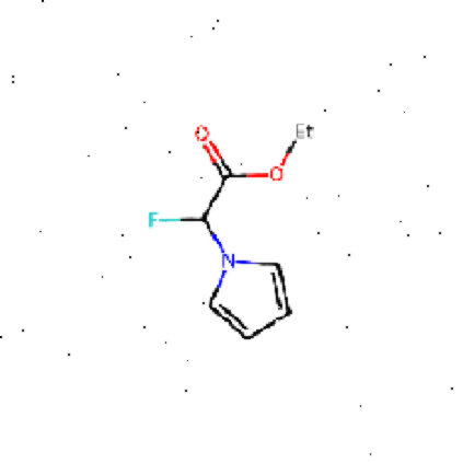 CCOC(=O)C(F)n1cccc1